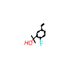 C=Cc1ccc(F)c(C(C)(C)O)c1